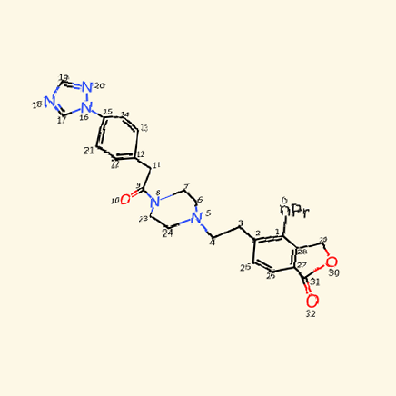 CCCc1c(CCN2CCN(C(=O)Cc3ccc(-n4cncn4)cc3)CC2)ccc2c1COC2=O